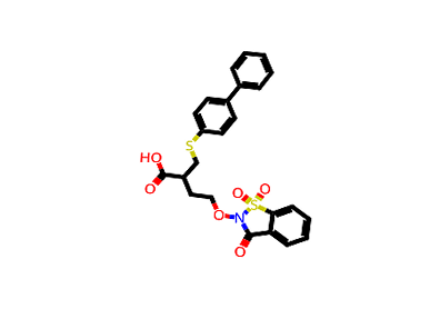 O=C(O)C(CCON1C(=O)c2ccccc2S1(=O)=O)CSc1ccc(-c2ccccc2)cc1